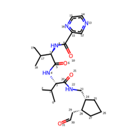 CC(C)[C@H](NC(=O)[C@H](NC(=O)c1cnccn1)C(C)C)C(=O)NC[C@@H]1CCC[C@@H]1CC=O